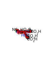 N#Cc1ccc(OP(=O)(O)CNS(=O)(=O)c2cc3cc(OCCNC(=O)Cc4ccc(CC(=O)O)c(CC(=O)O)c4)c(OCCNC(=O)Cc4ccc(CC(=O)O)c(CC(=O)O)c4)cc3s2)cc1F